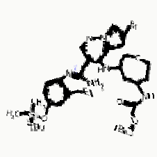 CCc1cc(O[Si](C)(C)C(C)(C)C)ccc1/N=C(\N)c1cnn2cc(Br)cc2c1NC1CCCCC(NC(=O)OC(C)(C)C)C1